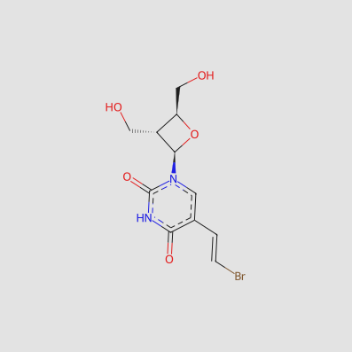 O=c1[nH]c(=O)n([C@@H]2O[C@H](CO)[C@H]2CO)cc1C=CBr